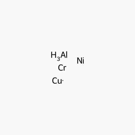 [AlH3].[Cr].[Cu].[Ni]